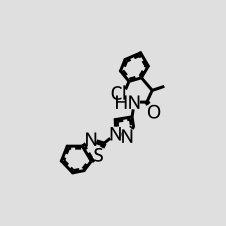 CC(C(=O)Nc1cnn(-c2nc3ccccc3s2)c1)c1ccccc1Cl